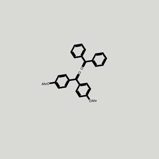 COc1ccc(C(=O)c2ccc(OC)cc2)cc1.O=C(c1ccccc1)c1ccccc1